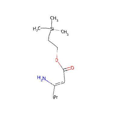 CC(C)C(N)=CC(=O)OCC[Si](C)(C)C